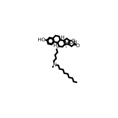 CCCCCCCCCN(C)CCCCC[C@H]1C[C@@]2(C)[C@@H](CC3OC(=O)C[C@@]32O)[C@@H]2CCc3cc(O)ccc3[C@@H]12